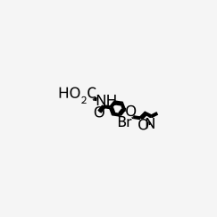 Cc1cc(COc2ccc(C(=O)NCC(=O)O)cc2Br)on1